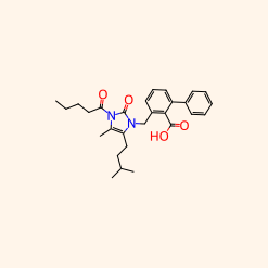 CCCCC(=O)n1c(C)c(CCC(C)C)n(Cc2cccc(-c3ccccc3)c2C(=O)O)c1=O